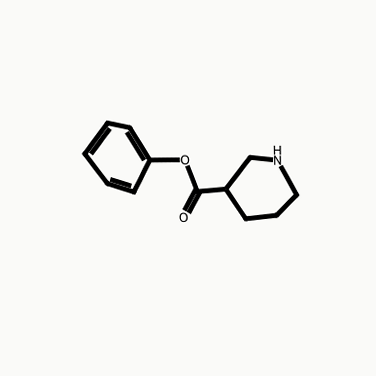 O=C(Oc1ccccc1)C1CCCNC1